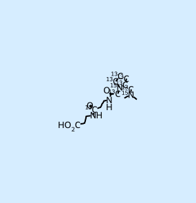 C[15N](C)[13CH2][13CH]1[13CH2][13CH2][13CH2][15N]1[13CH2]C(=O)NCC[13C](=O)NCCC(=O)O